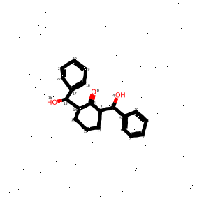 O=C1C(C(O)c2ccccc2)CCCC1C(O)c1ccccc1